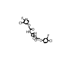 CC1(NC(=O)COc2ccc(Cl)c(F)c2)C=C(NC(=O)COc2cnc(F)c(Cl)c2)C1